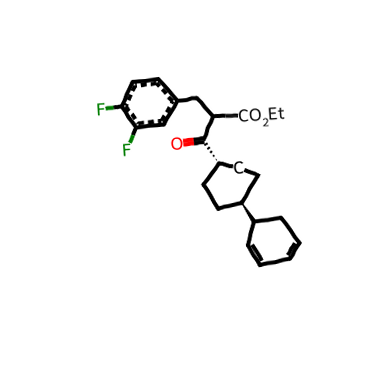 CCOC(=O)C(Cc1ccc(F)c(F)c1)C(=O)[C@H]1CC[C@H](C2C=CC=CC2)CC1